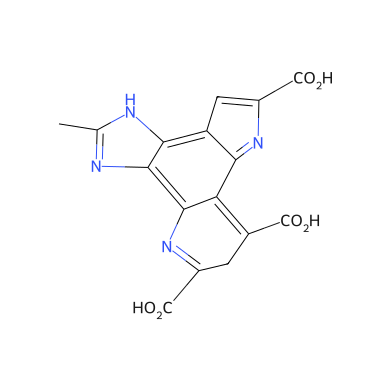 Cc1nc2c3c(c4c(c2[nH]1)C=C(C(=O)O)N=4)=C(C(=O)O)CC(C(=O)O)=N3